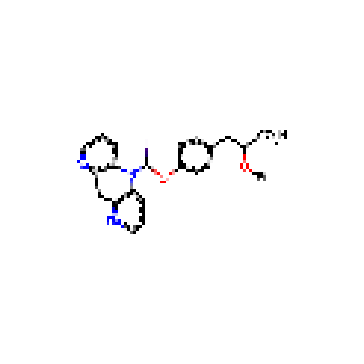 CCOC(Cc1ccc(OC(I)N2c3cccnc3Cc3ncccc32)cc1)C(=O)O